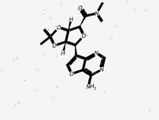 CN(C)C(=O)[C@H]1O[C@@H](c2coc3c(N)ncnc23)[C@@H]2OC(C)(C)O[C@@H]21